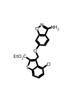 CCOC(=O)c1sc2cccc(Cl)c2c1COc1ccc2c(N)noc2c1